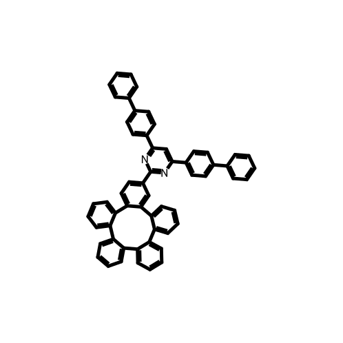 c1ccc(-c2ccc(-c3cc(-c4ccc(-c5ccccc5)cc4)nc(-c4ccc5c6ccccc6c6ccccc6c6ccccc6c6ccccc6c5c4)n3)cc2)cc1